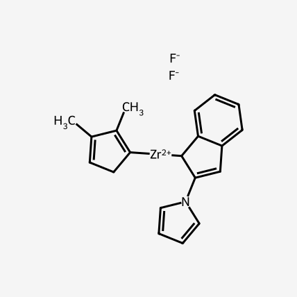 CC1=CC[C]([Zr+2][CH]2C(n3cccc3)=Cc3ccccc32)=C1C.[F-].[F-]